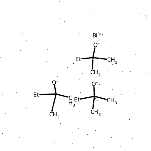 CCC(C)(C)[O-].CCC(C)(C)[O-].CCC(C)(C)[O-].[Bi+3]